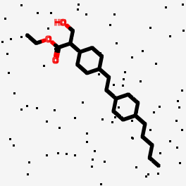 CCCCCC1CCC(CCC2CCC(C(CO)C(=O)OCC)CC2)CC1